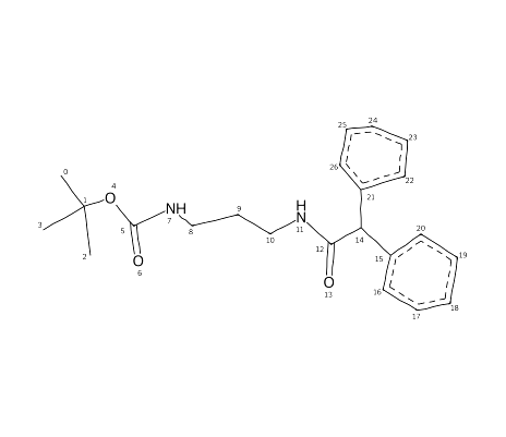 CC(C)(C)OC(=O)NCCCNC(=O)C(c1ccccc1)c1ccccc1